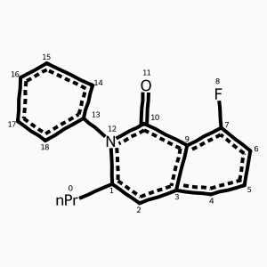 CCCc1cc2cccc(F)c2c(=O)n1-c1ccccc1